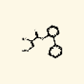 COC=C(C)C(=O)Oc1ccccc1-c1ccccc1